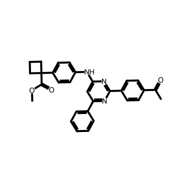 COC(=O)C1(c2ccc(Nc3cc(-c4ccccc4)nc(-c4ccc(C(C)=O)cc4)n3)cc2)CCC1